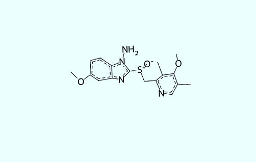 COc1ccc2c(c1)nc([S+]([O-])Cc1ncc(C)c(OC)c1C)n2N